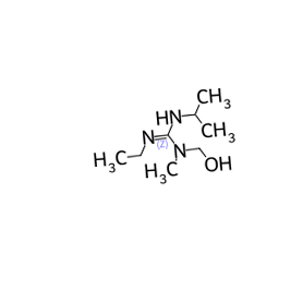 CC/N=C(/NC(C)C)N(C)CO